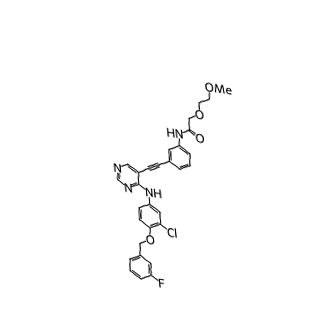 COCCOCC(=O)Nc1cccc(C#Cc2cncnc2Nc2ccc(OCc3cccc(F)c3)c(Cl)c2)c1